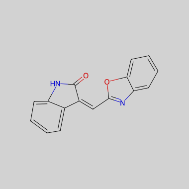 O=C1Nc2ccccc2C1=Cc1nc2ccccc2o1